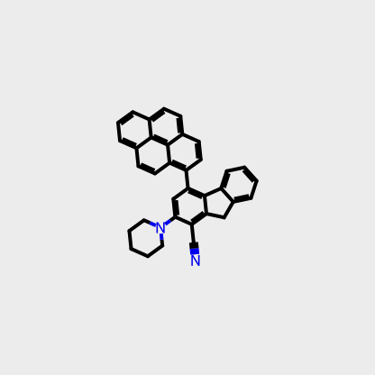 N#Cc1c(N2CCCCC2)cc(-c2ccc3ccc4cccc5ccc2c3c45)c2c1Cc1ccccc1-2